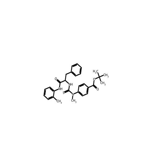 Cc1ccccc1NC(=O)C(Cc1ccccc1)NC(=S)N(C)c1ccc(C(=O)OC(C)(C)C)cc1